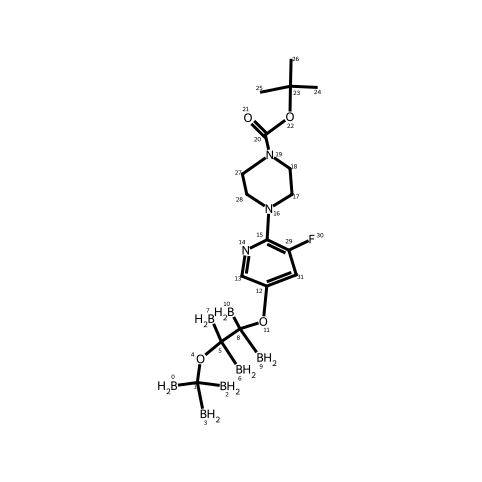 BC(B)(B)OC(B)(B)C(B)(B)Oc1cnc(N2CCN(C(=O)OC(C)(C)C)CC2)c(F)c1